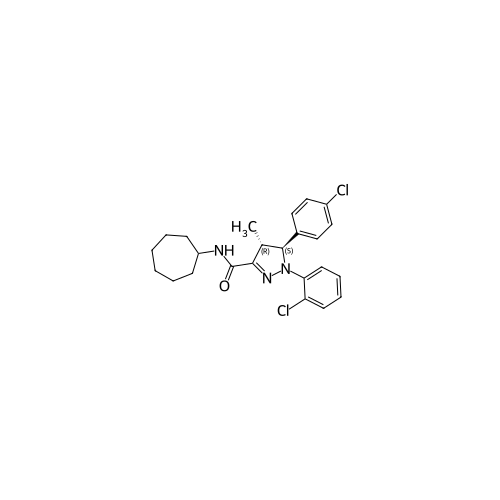 C[C@H]1C(C(=O)NC2CCCCCC2)=NN(c2ccccc2Cl)[C@@H]1c1ccc(Cl)cc1